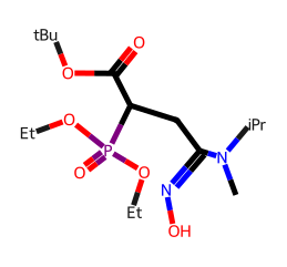 CCOP(=O)(OCC)C(C/C(=N/O)N(C)C(C)C)C(=O)OC(C)(C)C